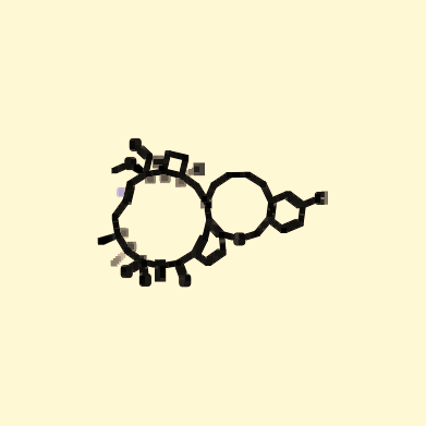 CO[C@]1(C=O)/C=C/C[C@H](C)[C@@H](C)S(=O)(=O)NC(=O)c2ccc3c(c2)N(CCCCc2cc(Cl)ccc2CO3)C[C@@H]2CC[C@H]21